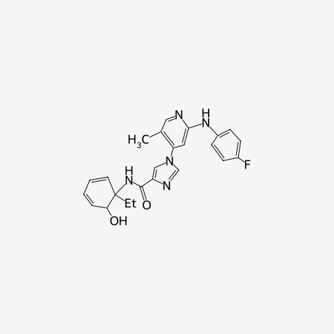 CCC1(NC(=O)c2cn(-c3cc(Nc4ccc(F)cc4)ncc3C)cn2)C=CC=CC1O